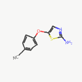 N#Cc1ccc(Oc2cnc(N)s2)cc1